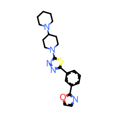 c1cc(-c2ncco2)cc(-c2nnc(N3CCC(N4CCCCC4)CC3)s2)c1